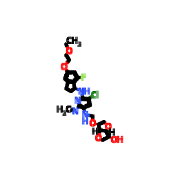 C=Nc1nc(N[C@H]2CCc3cc(OCCOCC)cc(F)c32)c(Cl)cc1NCO[C@@H]1CO[C@H]2[C@@H]1OC[C@H]2O